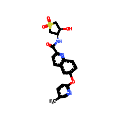 O=C(N[C@@H]1CS(=O)(=O)C[C@H]1O)c1ccc2cc(Oc3ccc(C(F)(F)F)cn3)ccc2n1